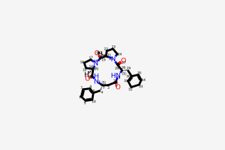 O=C1C[C@H](Cc2ccccc2)NC(=O)[C@H]2CCCN2C(=O)[C@H]2CCCN2C(=O)[C@H](CC2=CCCC=C2)N1